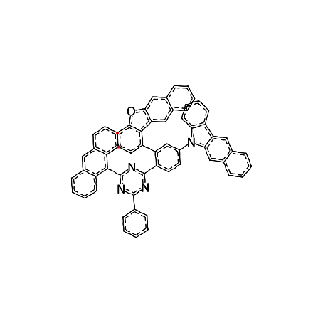 c1ccc(-c2nc(-c3ccc(-n4c5ccccc5c5cc6ccccc6cc54)cc3-c3cccc4oc5cc6ccccc6cc5c34)nc(-c3c4ccccc4cc4ccccc34)n2)cc1